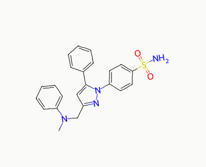 CN(Cc1cc(-c2ccccc2)n(-c2ccc(S(N)(=O)=O)cc2)n1)c1ccccc1